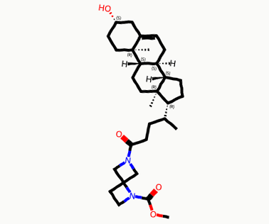 COC(=O)N1CCC12CN(C(=O)CCC(C)[C@H]1CC[C@H]3[C@@H]4CC=C5C[C@@H](O)CC[C@]5(C)[C@H]4CC[C@]13C)C2